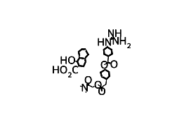 CN(C)C(=O)COC(=O)Cc1ccc(OC(=O)c2ccc(NC(=N)N)cc2)cc1.O=C(O)c1ccc2ccccc2c1O